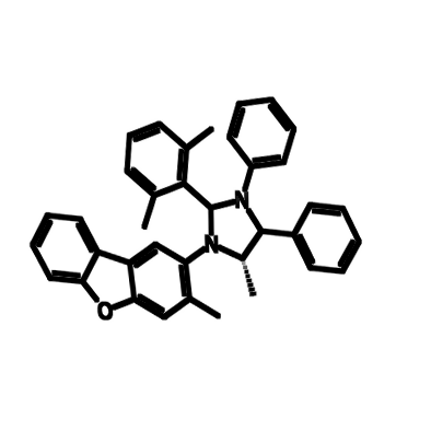 Cc1cc2oc3ccccc3c2cc1N1C(c2c(C)cccc2C)N(c2ccccc2)C(c2ccccc2)[C@@H]1C